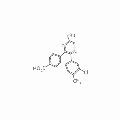 CCCCc1cnc(-c2ccc(C(F)(F)F)c(Cl)c2)c(-c2ccc(C(=O)O)cc2)n1